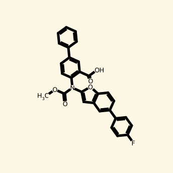 COC(=O)N(c1cc2cc(-c3ccc(F)cc3)ccc2o1)c1ccc(-c2ccccc2)cc1C(=O)O